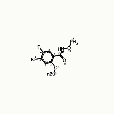 CCCCOc1cc(Br)c(F)cc1C(=O)NOP